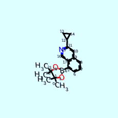 CC1(C)OB(c2cccc3cc(C4CC4)ncc23)OC1(C)C